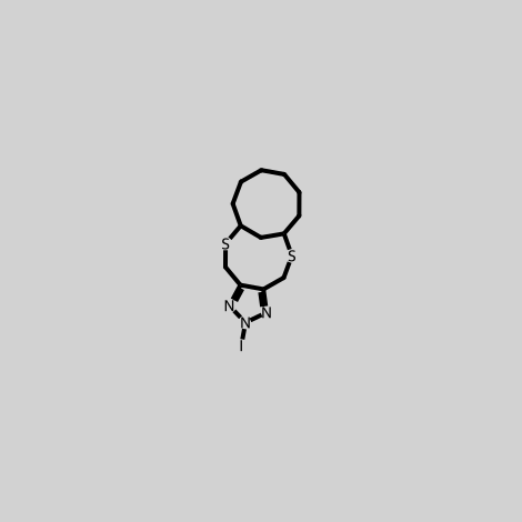 In1nc2c(n1)CSC1CCCCCCC(C1)SC2